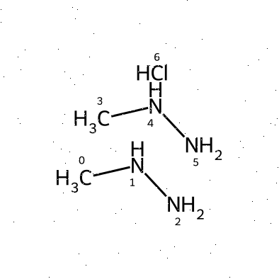 CNN.CNN.Cl